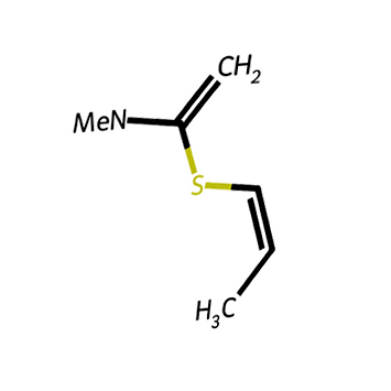 C=C(NC)S/C=C\C